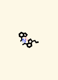 C=CCC1C=C2B3C4C=Cc5cccc(c54)C(C)N3C(C)c3cccc1c32